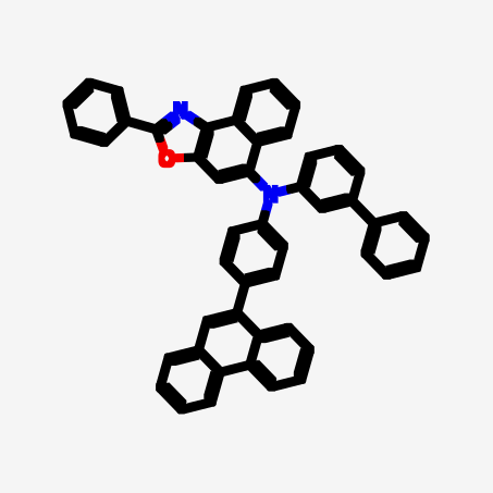 c1ccc(-c2cccc(N(c3ccc(-c4cc5ccccc5c5ccccc45)cc3)c3cc4oc(-c5ccccc5)nc4c4ccccc34)c2)cc1